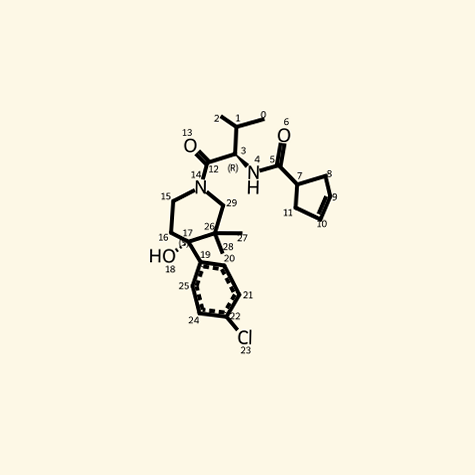 CC(C)[C@@H](NC(=O)C1CC=CC1)C(=O)N1CC[C@](O)(c2ccc(Cl)cc2)C(C)(C)C1